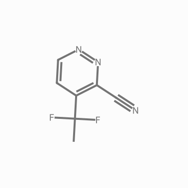 CC(F)(F)c1ccnnc1C#N